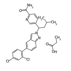 CC(C)CC(c1ccc(C(N)=O)nc1)n1cc2cc(-c3ccc(Cl)cc3Cl)ccc2n1.CCC(=O)O